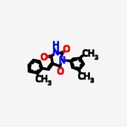 Cc1cc(C)cc(N2C(=O)NC(=O)/C(=C\c3ccccc3C)C2=O)c1